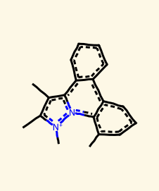 Cc1cccc2c3ccccc3c3c(C)c(C)[n+](C)n3c12